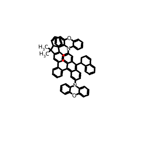 CC1(C)c2cc(-c3ccccc3-c3c4cc(N5c6ccccc6Oc6ccccc65)ccc4c(C4CC=Cc5ccccc54)c4cc(N5c6ccccc6Oc6ccccc65)ccc34)ccc2C2C=CC=CC21